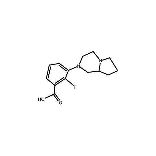 O=C(O)c1cccc(N2CCN3CCCC3C2)c1F